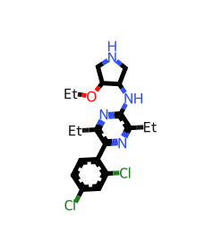 CCOC1CNCC1Nc1nc(CC)c(-c2ccc(Cl)cc2Cl)nc1CC